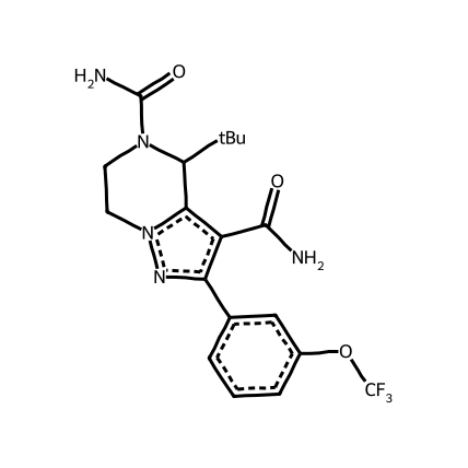 CC(C)(C)C1c2c(C(N)=O)c(-c3cccc(OC(F)(F)F)c3)nn2CCN1C(N)=O